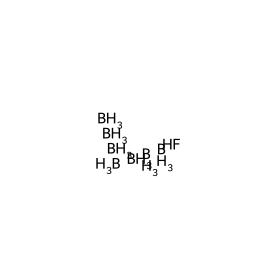 B.B.B.B.B.B.B.F